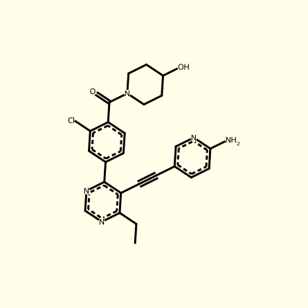 CCc1ncnc(-c2ccc(C(=O)N3CCC(O)CC3)c(Cl)c2)c1C#Cc1ccc(N)nc1